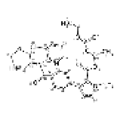 CCOC(=O)O[C@H](C)OC(=O)c1c(-c2ccc(C(=O)N(c3ncccc3Cl)[C@@H]3CCCNC3)cc2)cnn1C